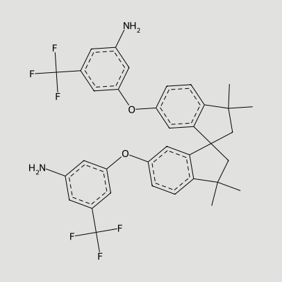 CC1(C)CC2(CC(C)(C)c3ccc(Oc4cc(N)cc(C(F)(F)F)c4)cc32)c2cc(Oc3cc(N)cc(C(F)(F)F)c3)ccc21